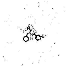 CN(C#N)C(=O)[C@H](CC1CCCCC1)NC(=O)c1cccc(Br)c1